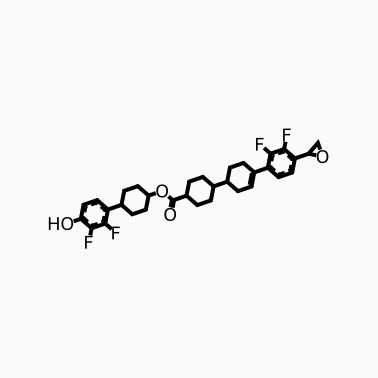 O=C(OC1CCC(c2ccc(O)c(F)c2F)CC1)C1CCC(C2CC=C(c3ccc(C4CO4)c(F)c3F)CC2)CC1